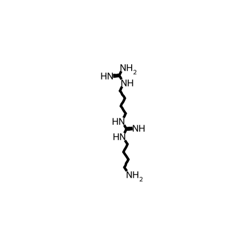 N=C(N)NCCCCNC(=N)NCCCCN